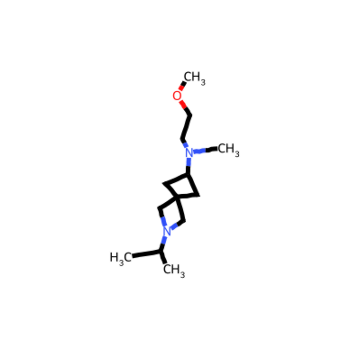 COCCN(C)C1CC2(C1)CN(C(C)C)C2